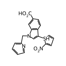 O=C(O)c1ccc2c([SH]3C=CC=C3[N+](=O)[O-])cn(Cc3ccccn3)c2c1